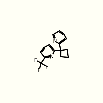 FC(F)(F)c1cccc(C2(c3ccccn3)CCC2)n1